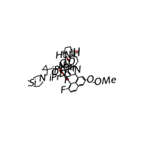 COCOc1cc(-c2nc3c4c(nc(OCC5(CN6CCC[Si](C)(C)CC6)CC5)nc4c2F)N2C[C@H]4CC[C@@H]([C@H]2CC3)N4C(=O)OC(C)(C)C)c2c(C#C[Si](C(C)C)(C(C)C)C(C)C)c(F)ccc2c1